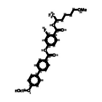 CCCCCCCCOc1ccc(-c2ccc(C(=O)Oc3ccc(C(=O)OC(CCCCOC)C(F)(F)F)c(F)c3)cc2)cc1